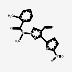 Cc1ccccc1C(=O)N(N)n1cc(C=O)c(-c2ccc([N+](=O)[O-])o2)n1